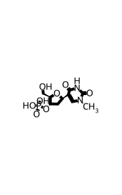 Cn1cc([C@H]2C[C@H](OP(=O)(O)O)[C@@H](CO)O2)c(=O)[nH]c1=O